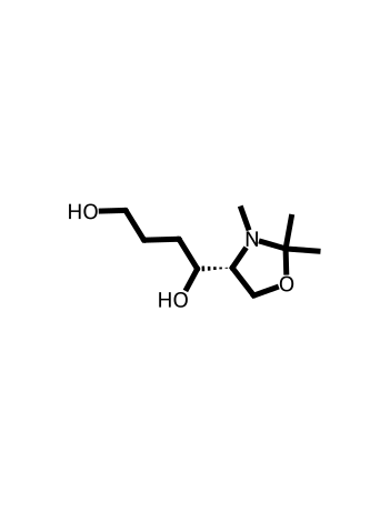 CN1[C@@H](C(O)CCCO)COC1(C)C